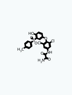 Cc1ccc(S(=O)(=O)c2cc(Oc3c(Cl)cc(NC(=O)C(N)=O)cc3Cl)ccc2O)cc1